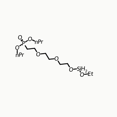 CCCOP(=O)(CCOCCOCCO[SiH2]OCC)OCCC